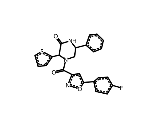 O=C1NC(c2ccccc2)CN(C(=O)c2cc(-c3ccc(F)cc3)on2)C1c1cccs1